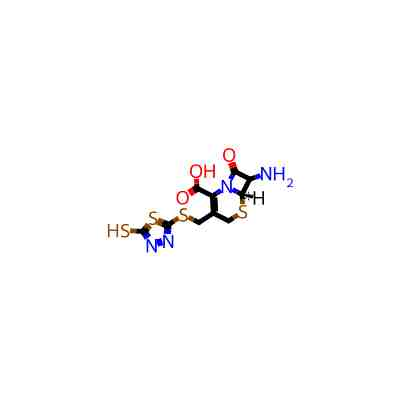 NC1C(=O)N2C(C(=O)O)=C(CSc3nnc(S)s3)CS[C@@H]12